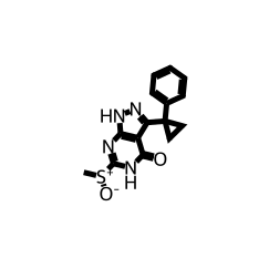 C[S+]([O-])c1nc2[nH]nc(C3(c4ccccc4)CC3)c2c(=O)[nH]1